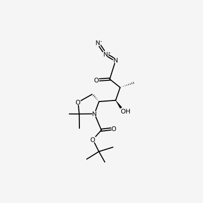 C[C@@H](C(=O)N=[N+]=[N-])[C@@H](O)[C@H]1COC(C)(C)N1C(=O)OC(C)(C)C